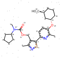 Cc1nc(-c2snc(C)c2COC(=O)N(C)C2CCCC2)ccc1O[C@H]1CCC[C@H](C(=O)O)C1